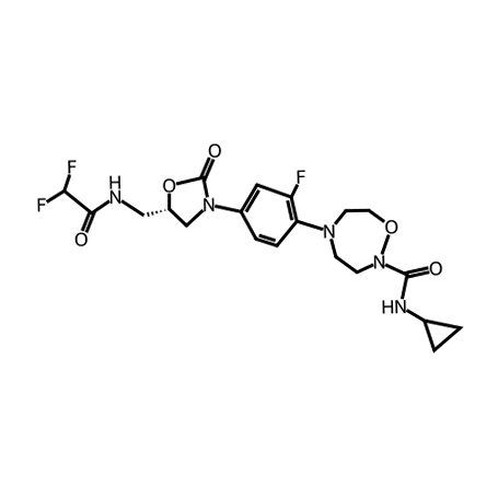 O=C(NC[C@H]1CN(c2ccc(N3CCON(C(=O)NC4CC4)CC3)c(F)c2)C(=O)O1)C(F)F